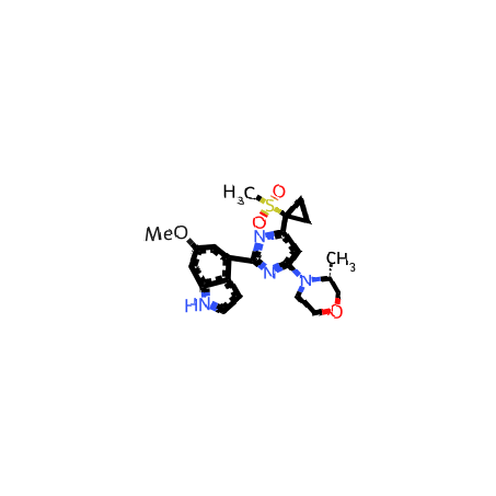 COc1cc(-c2nc(N3CCOC[C@H]3C)cc(C3(S(C)(=O)=O)CC3)n2)c2cc[nH]c2c1